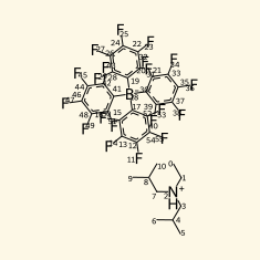 CC[NH+](CC(C)C)CC(C)C.Fc1c(F)c(F)c([B-](c2c(F)c(F)c(F)c(F)c2F)(c2c(F)c(F)c(F)c(F)c2F)c2c(F)c(F)c(F)c(F)c2F)c(F)c1F